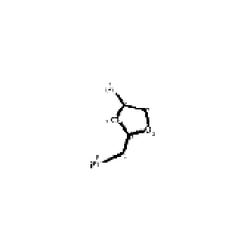 CC(C)CC1OCC(C(C)C)O1